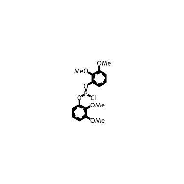 COc1cccc(OP(Cl)Oc2cccc(OC)c2OC)c1OC